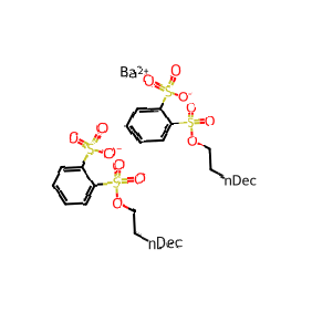 CCCCCCCCCCCCOS(=O)(=O)c1ccccc1S(=O)(=O)[O-].CCCCCCCCCCCCOS(=O)(=O)c1ccccc1S(=O)(=O)[O-].[Ba+2]